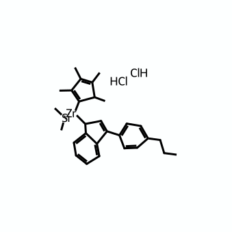 CCCc1ccc(C2=C[CH]([Zr]([C]3=C(C)C(C)=C(C)C3C)=[Si](C)C)c3ccccc32)cc1.Cl.Cl